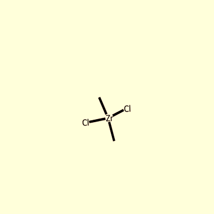 [CH3][Zr]([CH3])([Cl])[Cl]